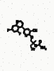 CC(C)CC(C)(COc1ncc(-c2ccnc3cc(F)cc(F)c23)cc1C#N)OC(N)=O